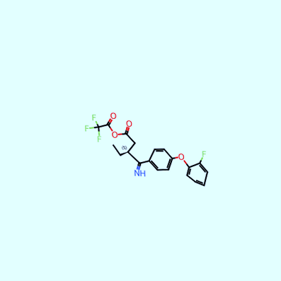 CC[C@@H](CC(=O)OC(=O)C(F)(F)F)C(=N)c1ccc(Oc2ccccc2F)cc1